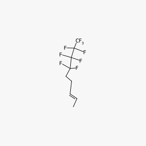 CC=CCCC(F)(F)C(F)(F)C(F)(F)C(F)(F)F